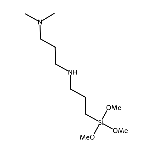 CO[Si](CCCNCCCN(C)C)(OC)OC